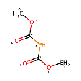 BOC(=O)PC(=O)OC